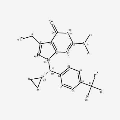 CN(C)c1nc2c(c(CF)nn2[C@H](c2ccc(C(C)(F)F)cc2)C2CC2)c(=O)[nH]1